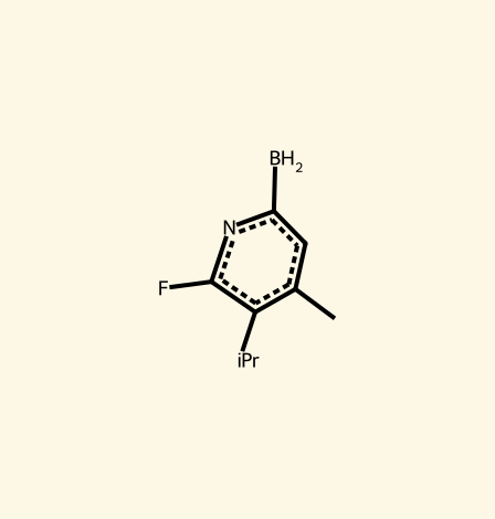 Bc1cc(C)c(C(C)C)c(F)n1